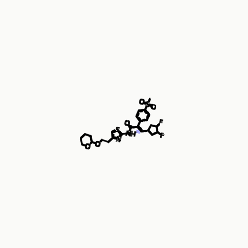 CS(=O)(=O)c1ccc(/C(=C\C2CC(F)C(F)C2)C(=O)Nc2nc(CCOC3CCCCO3)cs2)cc1